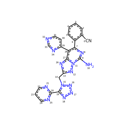 N#Cc1ccccc1-c1nc(N)n2nc(Cn3nnnc3-c3ncccn3)nc2c1-c1ccncn1